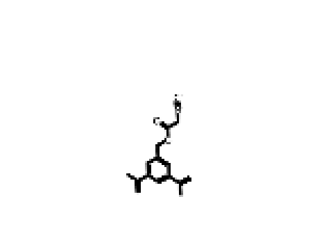 [C-]#[N+]CC(=O)OCc1cc(C(=C)C)cc(C(=C)C)c1